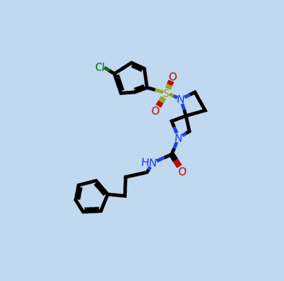 O=C(NCCCc1ccccc1)N1CC2(CCN2S(=O)(=O)c2ccc(Cl)cc2)C1